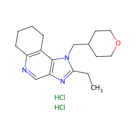 CCc1nc2cnc3c(c2n1CC1CCOCC1)CCCC3.Cl.Cl